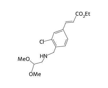 CCOC(=O)C=Cc1ccc(CNCC(OC)OC)c(Cl)c1